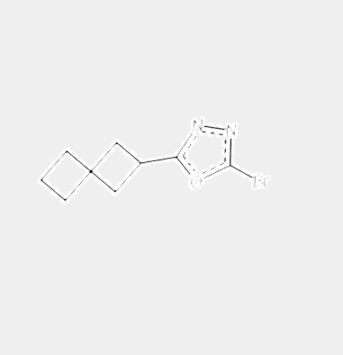 Brc1nnc(C2CC3(CCC3)C2)o1